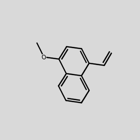 C=Cc1ccc(OC)c2ccccc12